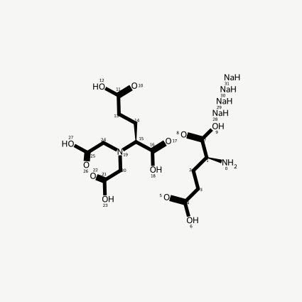 N[C@@H](CCC(=O)O)C(=O)O.O=C(O)CC[C@@H](C(=O)O)N(CC(=O)O)CC(=O)O.[NaH].[NaH].[NaH].[NaH]